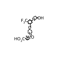 O=C(O)c1ccn(C(=O)N2CCC(OCc3cc(N4CC[C@@H](O)C4)cc(C(F)(F)F)c3)CC2)n1